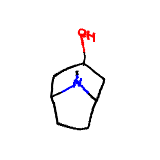 CN1C2CCC1C[C](O)C2